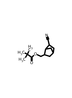 CC(C)(C)C(=O)OCC1CC2CC(C#N)C1C2